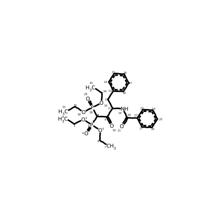 CCOP(=O)(OCC)C(C(=O)C(Cc1ccccc1)NC(=O)c1ccccc1)P(=O)(OCC)OCC